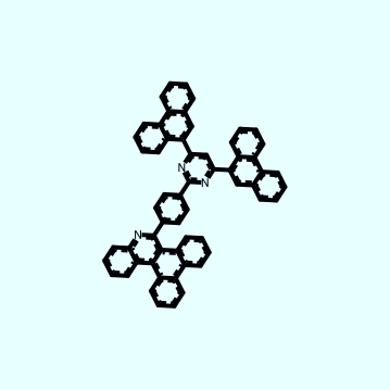 c1ccc2c(c1)cc(-c1cc(-c3cc4ccccc4c4ccccc34)nc(-c3ccc(-c4nc5ccccc5c5c6ccccc6c6ccccc6c45)cc3)n1)c1ccccc12